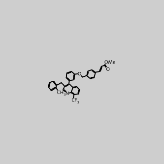 COC(=O)/C=C/c1ccc(COc2cccc(-c3c(Cc4ccccc4C)cnc4c(C(F)(F)F)cccc34)c2)cc1